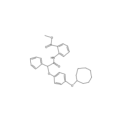 COC(=O)c1ccccc1NC(=O)C(Oc1ccc(OC2CCCCCCC2)cc1)c1ccccc1